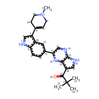 CN1CC=C(c2c[nH]c3ccc(-c4cnc5[nH]cc(C(=O)C(C)(C)C)c5n4)cc23)CC1